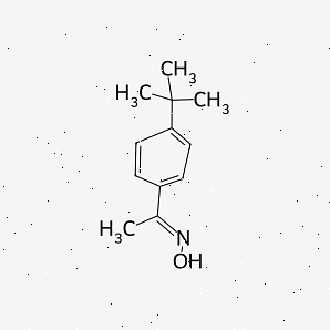 CC(=NO)c1ccc(C(C)(C)C)cc1